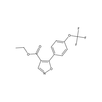 CCOC(=O)c1cnoc1-c1ccc(OC(F)(F)F)cc1